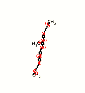 C=CC(=O)OCCCCCCOc1ccc(C(=O)Oc2ccc(CCOC(=O)c3ccc(OC(=O)c4ccc(OCCCCCCOC(=O)C=C)cc4)c(OC)c3)cc2)cc1